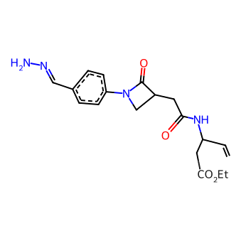 C=CC(CC(=O)OCC)NC(=O)CC1CN(c2ccc(C=NN)cc2)C1=O